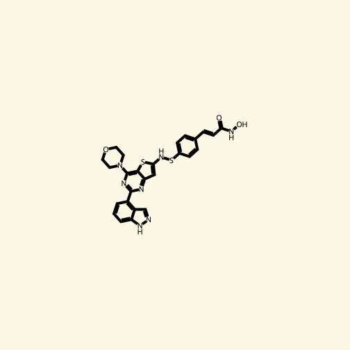 O=C(/C=C/c1ccc(SNc2cc3nc(-c4cccc5[nH]ncc45)nc(N4CCOCC4)c3s2)cc1)NO